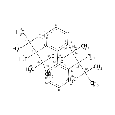 CC(C)(C)C(P)(c1ccccc1-c1ccccc1C(P)(C(C)(C)C)C(C)(C)C)C(C)(C)C